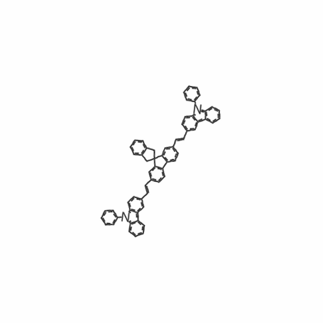 C(=C\c1ccc2c(c1)c1ccccc1n2-c1ccccc1)/c1ccc2c(c1)C1(Cc3ccccc3C1)c1cc(/C=C/c3ccc4c(c3)c3ccccc3n4-c3ccccc3)ccc1-2